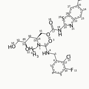 CN(C(=O)NCc1cccc(F)c1Cl)[C@H](COC(=O)Nc1nc2ccc(Cl)cc2s1)C[C@@H](O)CO